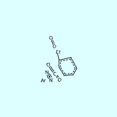 CCc1ccccc1.N#N.O=C=O.O=O.[Ar]